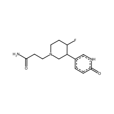 NC(=O)CCN1CCC(F)C(c2ccc(=O)[nH]c2)C1